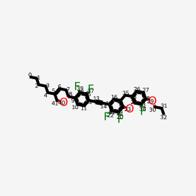 CCCCCC1=CCC(c2ccc(C#Cc3cc4c(c(F)c3F)Oc3c(ccc(OCCC)c3F)C4)c(F)c2F)OC1